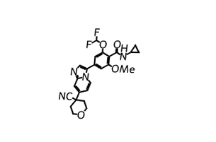 COc1cc(-c2cnc3cc(C4(C#N)CCOCC4)ccn23)cc(OC(F)F)c1C(=O)NC1CC1